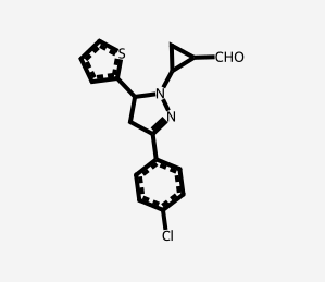 O=CC1CC1N1N=C(c2ccc(Cl)cc2)CC1c1cccs1